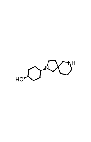 O[C@H]1CC[C@@H](N2CCC3(CCCNC3)C2)CC1